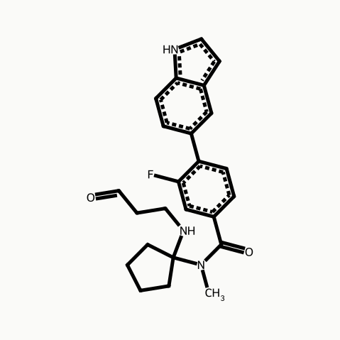 CN(C(=O)c1ccc(-c2ccc3[nH]ccc3c2)c(F)c1)C1(NCCC=O)CCCC1